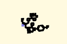 NC(=O)OC/C(=C\F)Cn1ncn(-c2ccc(F)cc2)c1=O